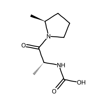 C[C@@H](NC(=O)O)C(=O)N1CCC[C@@H]1C